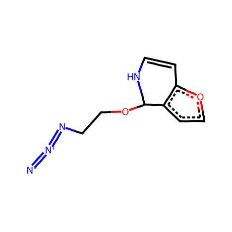 [N-]=[N+]=NCCOC1NC=Cc2occc21